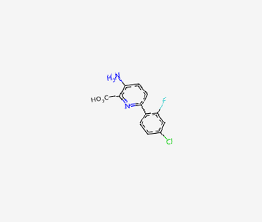 Nc1ccc(-c2ccc(Cl)cc2F)nc1C(=O)O